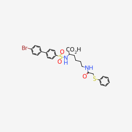 O=C(CSc1ccccc1)NCCCCC(NS(=O)(=O)c1ccc(-c2ccc(Br)cc2)cc1)C(=O)O